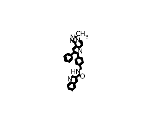 Cc1nnc2c3cc(-c4ccccc4)c(-c4ccc(CNC(=O)c5cnc6ccccc6c5)cc4)nc3ccn12